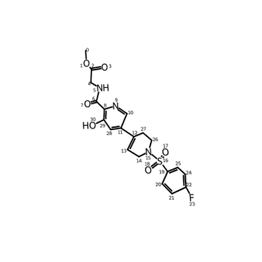 COC(=O)CNC(=O)c1ncc(C2=CCN(S(=O)(=O)c3ccc(F)cc3)CC2)cc1O